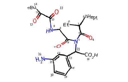 CCCCCCCC(CC)C(=O)N(C(=O)CNC(=O)C(=O)CCCC)C(C(=O)O)c1cccc(N)c1